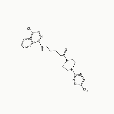 O=C(CCCCNc1nnc(Cl)c2ccccc12)N1CCN(c2ncc(C(F)(F)F)cn2)CC1